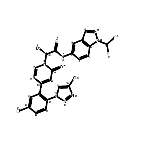 CC[C@@H](C(=O)Nc1ccc2c(cnn2C(F)F)c1)n1cnc(-c2cc(Cl)ccc2-n2cc(Cl)nn2)cc1=O